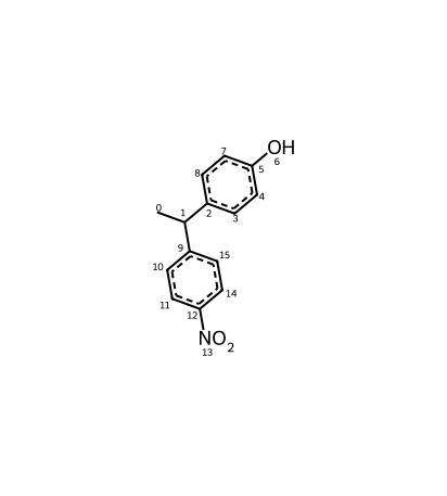 CC(c1ccc(O)cc1)c1ccc([N+](=O)[O-])cc1